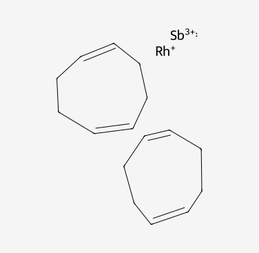 C1=CCCC=CCC1.C1=CCCC=CCC1.[Rh+].[Sb+3]